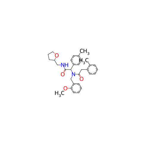 COc1ccccc1CN(C(=O)Cc1ccccc1C)C(C(=O)NCC1CCCO1)c1ccc(C)cc1